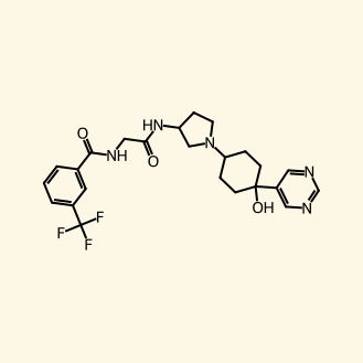 O=C(CNC(=O)c1cccc(C(F)(F)F)c1)NC1CCN(C2CCC(O)(c3cncnc3)CC2)C1